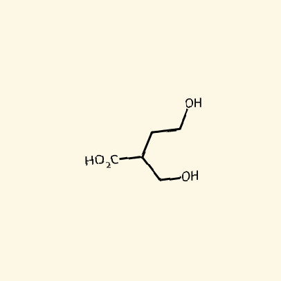 O=C(O)C(CO)CCO